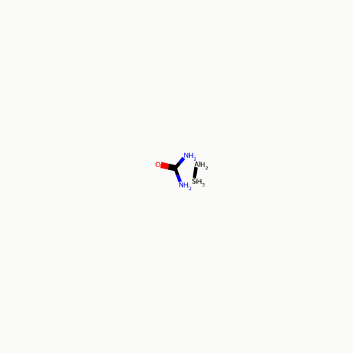 NC(N)=O.[AlH2][SiH3]